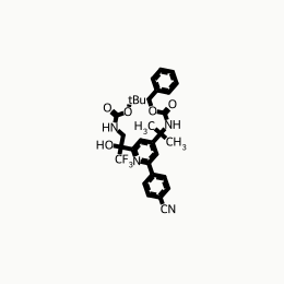 CC(C)(C)OC(=O)NCC(O)(c1cc(C(C)(C)NC(=O)OCc2ccccc2)cc(-c2ccc(C#N)cc2)n1)C(F)(F)F